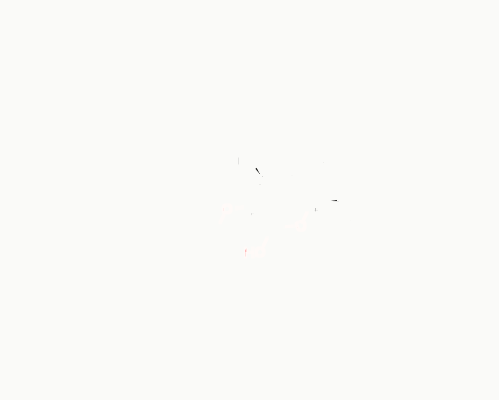 CC[C@H]1OC(O)[C@H](OCc2ccccc2)[C@@H](C)[C@@H]1C